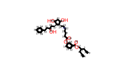 C#CCC(CC#C)COC(=O)c1cccc(OC(=O)CCC/C=C\C[C@@H]2[C@@H](CCC(O)CCc3ccccc3)[C@H](O)C[C@@H]2O)c1